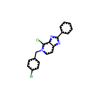 Clc1c2nc(-c3ccccc3)nc-2ccn1Cc1ccc(Br)cc1